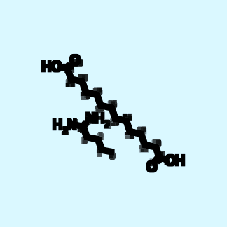 CCCCC(N)N.O=C(O)CCCCCCCCCCCCC(=O)O